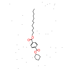 CCCCCCCCCCCCOC(=O)c1ccc(C(=O)OC2CCCCC2)cc1